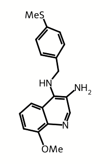 COc1cccc2c(NCc3ccc(SC)cc3)c(N)cnc12